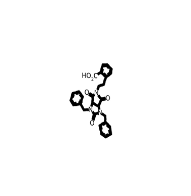 O=C(O)c1ccccc1CCN1C(=O)C2C(C1=O)N(Cc1ccccc1)C(=O)N2Cc1ccccc1